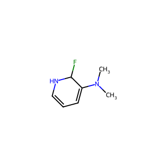 CN(C)C1=CC=CN[C]1F